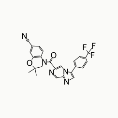 CC1(C)CN(C(=O)c2cn3c(-c4ccc(C(F)(F)F)cc4)cnc3cn2)c2ccc(C#N)cc2O1